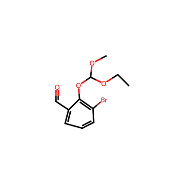 CCOC(OC)Oc1c(Br)cccc1C=O